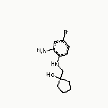 Nc1cc(Br)ccc1NCC1(O)CCCC1